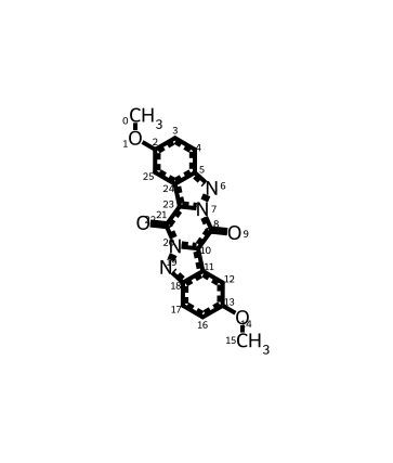 COc1ccc2nn3c(=O)c4c5cc(OC)ccc5nn4c(=O)c3c2c1